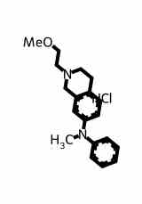 COCCN1CCc2ccc(N(C)c3ccccc3)cc2C1.Cl